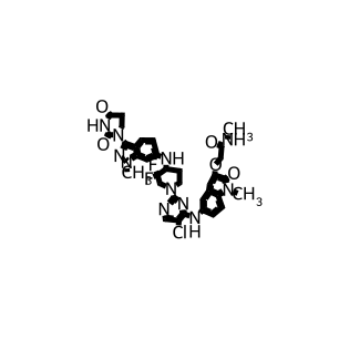 CNC(=O)COc1cc2cc(Nc3nc(N4CCC(Nc5ccc6c(N7CCC(=O)NC7=O)nn(C)c6c5)C(F)(F)C4)ncc3Cl)ccc2n(C)c1=O